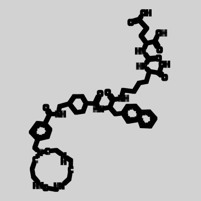 O=C(O)CCC(NC(=O)NC(CCCCNC(=O)C(Cc1ccc2ccccc2c1)NC(=O)C1CCC(CNC(=O)c2ccc(CN3CCCNCCNCCCNCC3)cc2)CC1)C(=O)O)C(=O)O